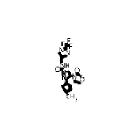 Cc1ccc(C2=NN(C(=O)NCc3cnc(C(F)(F)F)nc3)CC2N2CCOCC2=O)cc1